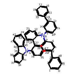 c1ccc(-c2ccc(N(c3cccc(-c4ccccc4)c3)c3ccccc3-c3ccccc3-n3c4ccccc4c4ccccc43)cc2)cc1